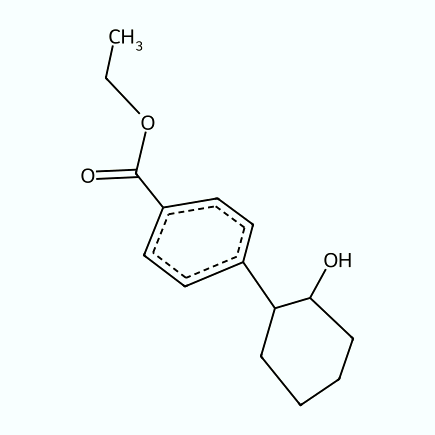 CCOC(=O)c1ccc(C2CCCCC2O)cc1